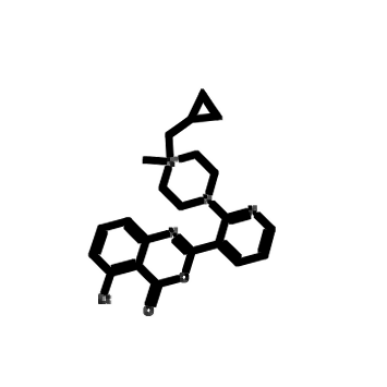 CCc1cccc2nc(-c3cccnc3N3CC[N+](C)(CC4CC4)CC3)oc(=O)c12